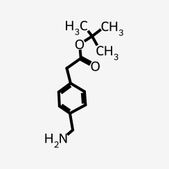 CC(C)(C)OC(=O)Cc1ccc(CN)cc1